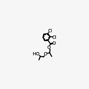 CC(O)COC(C)COC(=O)c1cccc(Cl)c1Cl